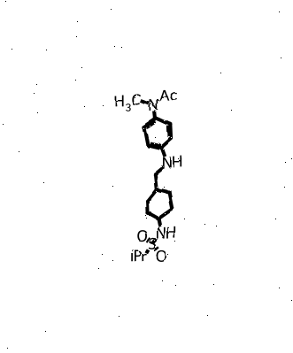 CC(=O)N(C)c1ccc(NCC2CCC(NS(=O)(=O)C(C)C)CC2)cc1